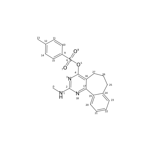 CNc1nc(OS(=O)(=O)c2ccc(C)cc2)c2c(n1)-c1ccccc1CCC2